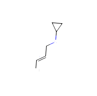 C/C=C/CNC1CC1